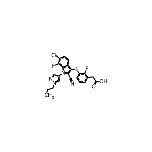 CCCn1cc(-n2c(C#N)c(Sc3cccc(CC(=O)O)c3F)c3ccc(Cl)c(F)c32)cn1